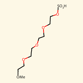 COCCOCCOCCOCCOS(=O)(=O)O